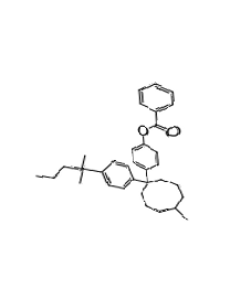 CCCC(C)(C)c1ccc(C2(c3ccc(OC(=O)c4ccccc4)cc3)CCCC(C)CCC2)cc1